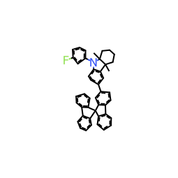 CC12CCCCC1(C)N(c1cccc(F)c1)c1ccc(-c3ccc4c(c3)C3(c5ccccc5-c5ccccc53)c3ccccc3-4)cc12